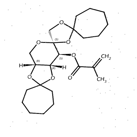 C=C(C)C(=O)O[C@H]1[C@@H]2OC3(CCCCCC3)O[C@@H]2CO[C@]12COC1(CCCCCC1)O2